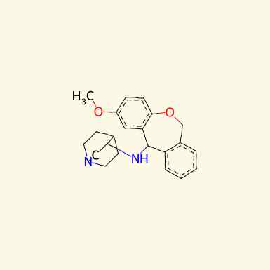 COc1ccc2c(c1)C(NC1CN3CCC1CC3)c1ccccc1CO2